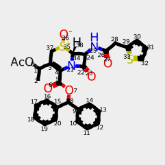 CC(=O)OC(C)C1=C(C(=O)OC(c2ccccc2)c2ccccc2)N2C(=O)C(NC(=O)Cc3cccs3)[C@H]2[S+]([O-])C1